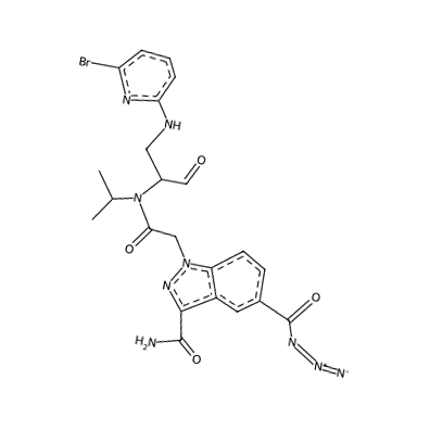 CC(C)N(C(=O)Cn1nc(C(N)=O)c2cc(C(=O)N=[N+]=[N-])ccc21)C(C=O)CNc1cccc(Br)n1